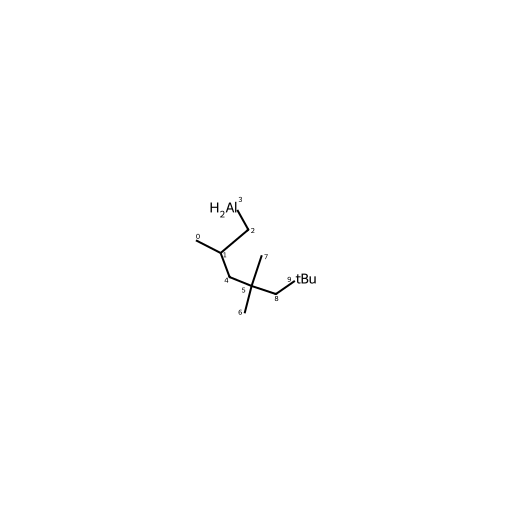 CC([CH2][AlH2])CC(C)(C)CC(C)(C)C